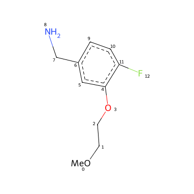 COCCOc1cc(CN)ccc1F